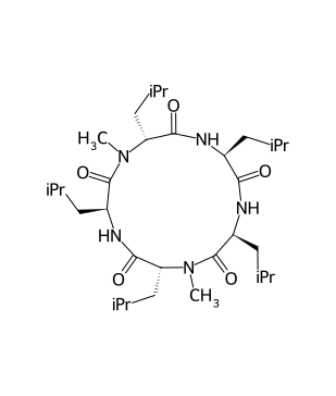 CC(C)C[C@@H]1NC(=O)[C@@H](CC(C)C)N(C)C(=O)[C@H](CC(C)C)NC(=O)[C@@H](CC(C)C)N(C)C(=O)[C@H](CC(C)C)NC1=O